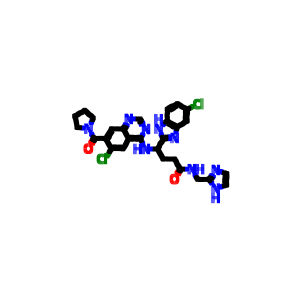 O=C(CCC(Nc1ncnc2cc(C(=O)N3CCCC3)c(Cl)cc12)c1nc2cc(Cl)ccc2[nH]1)NCc1ncc[nH]1